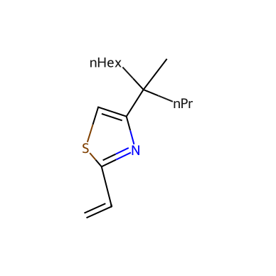 C=Cc1nc(C(C)(CCC)CCCCCC)cs1